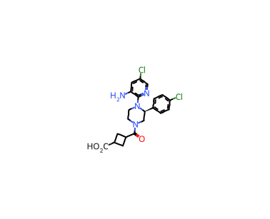 Nc1cc(Cl)cnc1N1CCN(C(=O)C2CC(C(=O)O)C2)C[C@@H]1c1ccc(Cl)cc1